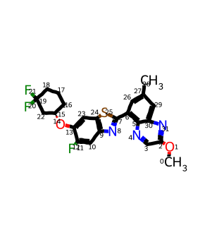 COc1cnc2c(-c3nc4cc(F)c(O[C@H]5[CH]CCC(F)(F)C5)cc4s3)cc(C)cc2n1